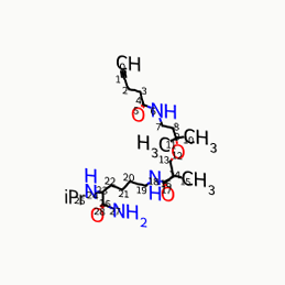 C#CCCC(=O)NCCC(C)(C)OCC(C)C(=O)NCCCCC(NC(C)C)C(N)=O